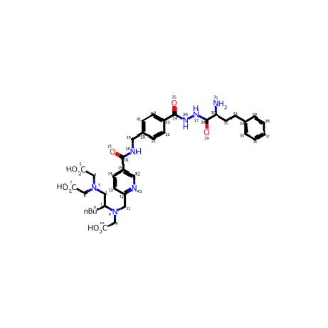 CCCCC(CN(CC(=O)O)CC(=O)O)N(CC(=O)O)Cc1ccc(C(=O)NCc2ccc(C(=O)NNC(=O)C(N)CCc3ccccc3)cc2)cn1